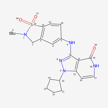 CC(C)(C)N1Cc2cc(Nc3nn(C4CCCC4)c4cc[nH]c(=O)c34)ccc2S1(=O)=O